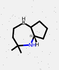 CC1(C)CCBC2CCC[C@@H]2N1